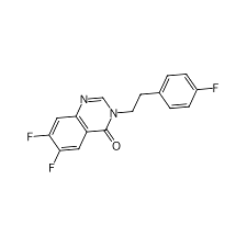 O=c1c2cc(F)c(F)cc2ncn1CCc1ccc(F)cc1